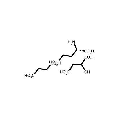 N[C@@H](CCC(=O)O)C(=O)O.O=C(O)CC(O)C(=O)O.O=C(O)CCC(=O)O